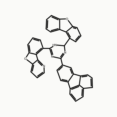 c1cc2c3c(cccc3c1)-c1cc(C3=NC(c4cccc5oc6ccccc6c45)NC(c4cccc5oc6cccnc6c45)=N3)ccc1-2